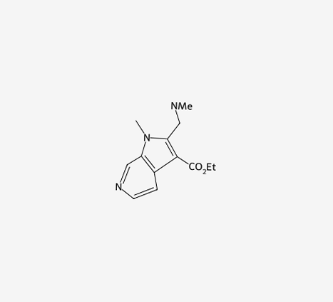 CCOC(=O)c1c(CNC)n(C)c2cnccc12